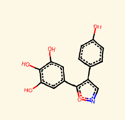 Oc1ccc(-c2cnoc2-c2cc(O)c(O)c(O)c2)cc1